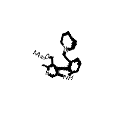 COCc1c(C)ncc2[nH]c3cccc(CN4CCCCC4)c3c12